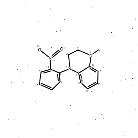 CN1CCN(c2ccccc2[N+](=O)[O-])c2ccccc21